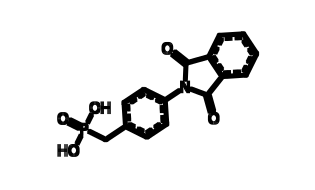 O=C1c2ccccc2C(=O)N1c1ccc(CP(=O)(O)O)cc1